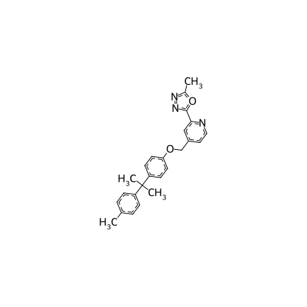 Cc1ccc(C(C)(C)c2ccc(OCc3ccnc(-c4nnc(C)o4)c3)cc2)cc1